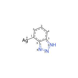 [Ag][c]1cccc2[nH]nnc12